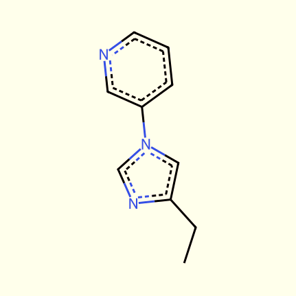 CCc1cn(-c2cccnc2)cn1